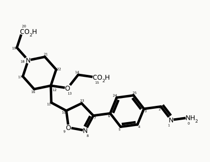 NN=Cc1ccc(C2=NOC(CC3(OCC(=O)O)CCN(CC(=O)O)CC3)C2)cc1